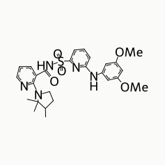 COc1cc(Nc2cccc(S(=O)(=O)NC(=O)c3cccnc3N3CCC(C)C3(C)C)n2)cc(OC)c1